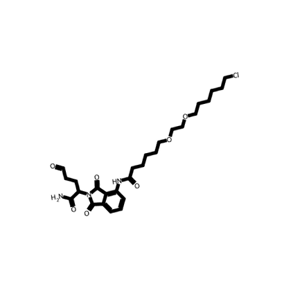 NC(=O)C(CCC=O)N1C(=O)c2cccc(NC(=O)CCCCCOCCOCCCCCCCl)c2C1=O